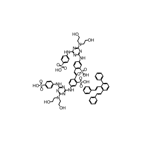 C(=Cc1cccc(-c2ccccc2)c1C=Cc1ccccc1)c1ccccc1.O=S(=O)(O)c1ccc(Nc2nc(Nc3ccc(C=Cc4ccc(Nc5nc(Nc6ccc(S(=O)(=O)O)cc6)nc(N(CCO)CCO)n5)cc4S(=O)(=O)O)c(S(=O)(=O)O)c3)nc(N(CCO)CCO)n2)cc1